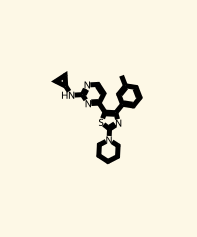 Cc1cccc(-c2nc(N3CCCCC3)sc2-c2ccnc(NC3CC3)n2)c1